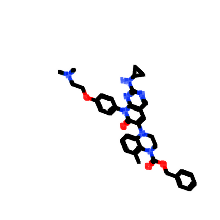 Cc1cccc2c1N(C(=O)OCc1ccccc1)CCN2c1cc2cnc(NC3CC3)nc2n(-c2ccc(OCCN(C)C)cc2)c1=O